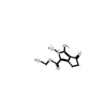 CCOC(=O)c1c2c(c(C)n1C)C(=O)CC2